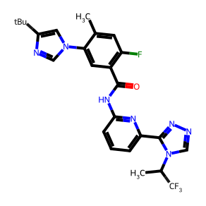 Cc1cc(F)c(C(=O)Nc2cccc(-c3nncn3C(C)C(F)(F)F)n2)cc1-n1cnc(C(C)(C)C)c1